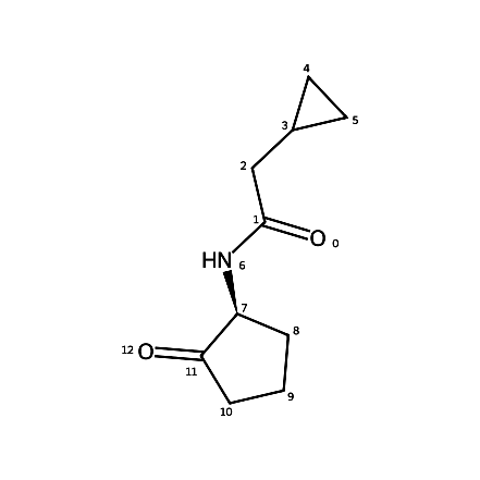 O=C(CC1CC1)N[C@H]1CCCC1=O